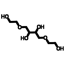 OCCOCC(O)C(O)COCCO